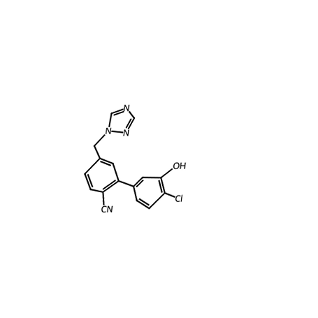 N#Cc1ccc(Cn2cncn2)cc1-c1ccc(Cl)c(O)c1